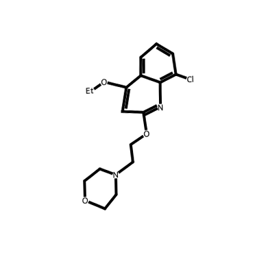 CCOc1cc(OCCN2CCOCC2)nc2c(Cl)cccc12